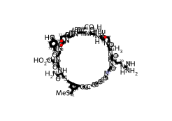 CCCC[C@@H]1NC(=O)[C@@H]2CCCN2C(=O)[C@H](C)NC(=O)[C@H](CCCNC(=N)N)NC(=O)/C=N/OCCCCCCOc2cc(CSC)cc(c2)CSC[C@@H](C(N)=O)NC(=O)[C@H](CCC(=O)O)NC(=O)[C@H](Cc2ccc(O)cc2)NC(=O)[C@@H]2CCCN2C(=O)[C@H](CC(C)(C)C)NC(=O)[C@H](CC(=O)O)NC1=O